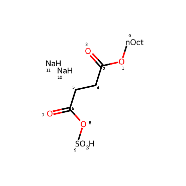 CCCCCCCCOC(=O)CCC(=O)OS(=O)(=O)O.[NaH].[NaH]